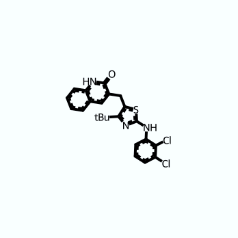 CC(C)(C)c1nc(Nc2cccc(Cl)c2Cl)sc1Cc1cc2ccccc2[nH]c1=O